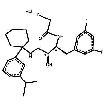 CC(C)c1cccc(C2(NC[C@H](O)[C@H](Cc3cc(F)cc(F)c3)NC(=O)CF)CCCCC2)c1.Cl